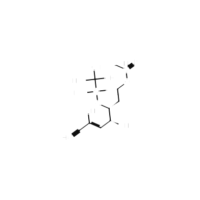 B#[SH](I)OCC[C@H](O[Si](C)(C)C(C)(C)C)[C@@H](C)/C=C(\C)C#C